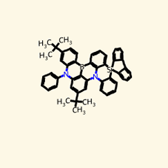 CC(C)(C)c1ccc2c(c1)N(c1ccccc1)c1cc(C(C)(C)C)cc3c1B2c1cccc2c1N3c1ccccc1[Si]21c2ccccc2-c2ccccc21